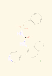 O=C(Nc1c(-c2ccncc2)cc(F)c2c1CCC2)NS(=O)(=O)Cc1ccccc1